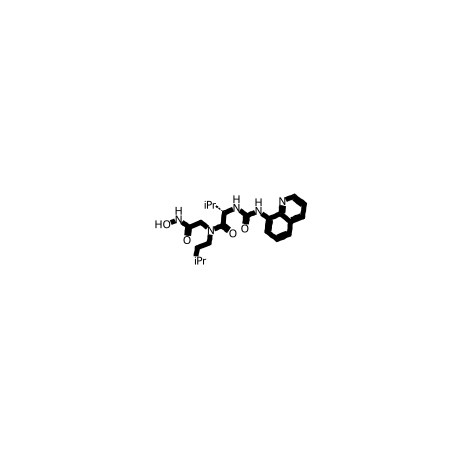 CC(C)CCN(CC(=O)NO)C(=O)[C@@H](NC(=O)Nc1cccc2cccnc12)C(C)C